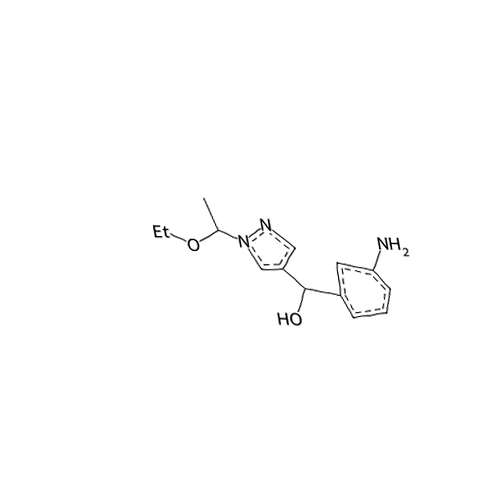 CCOC(C)n1cc(C(O)c2cccc(N)c2)cn1